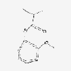 COc1cc[c]cc1NC(=O)C(C)C